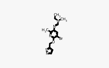 CCN(C)/C=N/c1cc(Br)c(OCc2ccns2)nc1C